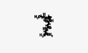 CCCNC(=O)C1CCC1NC(=O)CCC(=O)NCCN(C)C